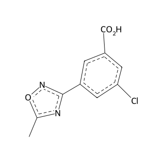 Cc1nc(-c2cc(Cl)cc(C(=O)O)c2)no1